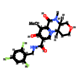 COc1c2n(cc(C(=O)NCc3c(F)cc(F)cc3F)c1=O)[C@H]1CCOC[C@H]1N(C)C2=O